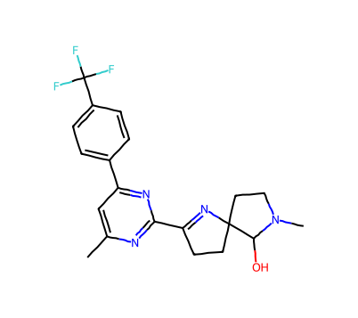 Cc1cc(-c2ccc(C(F)(F)F)cc2)nc(C2=NC3(CC2)CCN(C)C3O)n1